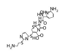 NCCSc1nccc(SC2=C(C(=O)O)N3C(=O)[C@@H](NC(=O)C(NO)c4cccc(N)n4)[C@@H]3SC2)n1